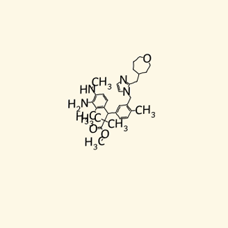 CNc1ccc(C(c2ccc(C)c(Cn3ccnc3CC3CCCOCC3)c2)C(C)(C)C(=O)OC)c(C)c1N